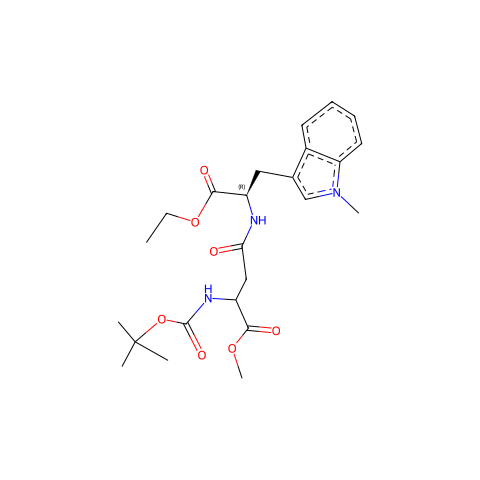 CCOC(=O)[C@@H](Cc1cn(C)c2ccccc12)NC(=O)CC(NC(=O)OC(C)(C)C)C(=O)OC